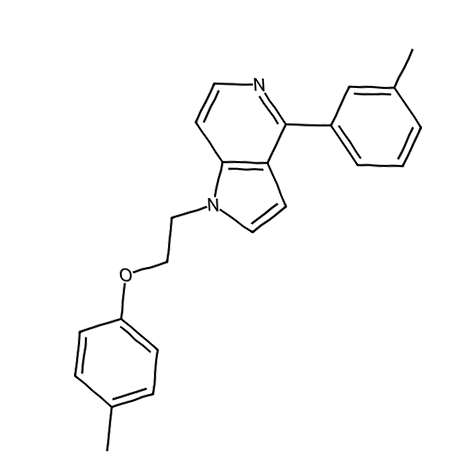 Cc1ccc(OCCn2ccc3c(-c4cccc(C)c4)nccc32)cc1